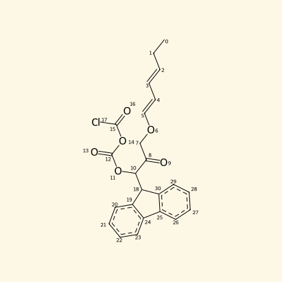 CCC=CC=COCC(=O)C(OC(=O)OC(=O)Cl)C1c2ccccc2-c2ccccc21